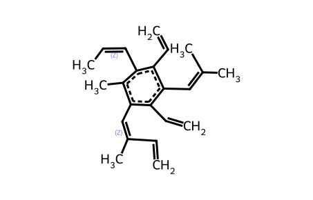 C=C/C(C)=C\c1c(C)c(/C=C\C)c(C=C)c(C=C(C)C)c1C=C